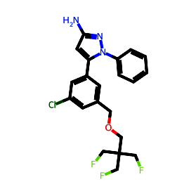 Nc1cc(-c2cc(Cl)cc(COCC(CF)(CF)CF)c2)n(-c2ccccc2)n1